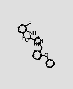 O=C(Nc1c(F)cccc1F)c1cnn(Cc2ccccc2Oc2ccccc2)n1